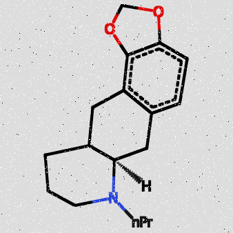 CCCN1CCCC2Cc3c(ccc4c3OCO4)C[C@H]21